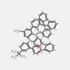 Cc1cc2c3c(c1)N(c1ccc(C(C)(C)C)cc1-c1ccccc1)c1cc4oc5ccccc5c4cc1B3N1c3ccccc3C3(c4ccccc4-c4ccccc43)c3cccc-2c31